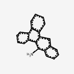 Nc1c2ccccc2cc2c3ccccc3c3ccccc3c12